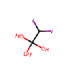 OC(O)(O)C(I)I